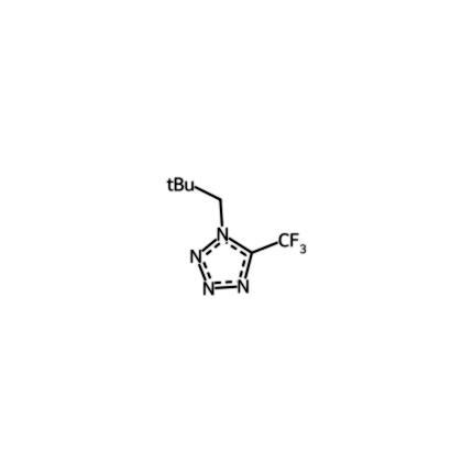 CC(C)(C)Cn1nnnc1C(F)(F)F